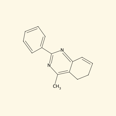 Cc1nc(-c2ccccc2)nc2c1CCC=C2